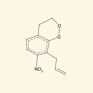 C=CCc1c([N+](=O)[O-])ccc2c1OOCC2